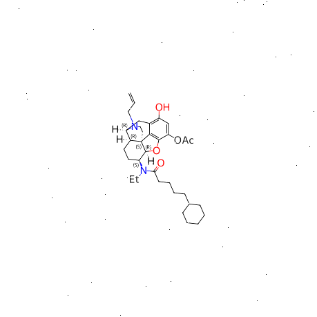 C=CCN1CC[C@]23c4c5c(O)cc(OC(C)=O)c4O[C@H]2[C@@H](N(CC)C(=O)CCCCC2CCCCC2)CC[C@H]3[C@H]1C5